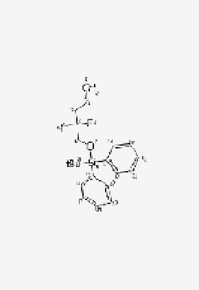 C=CCC(F)(F)CO[Si](c1ccccc1)(c1ccccc1)C(C)(C)C